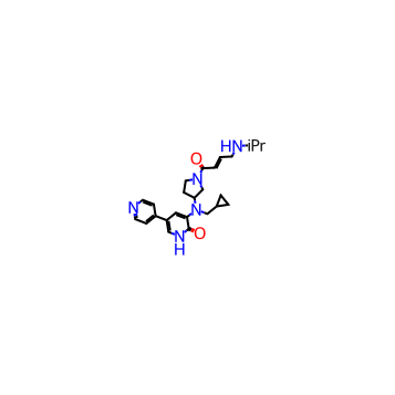 CC(C)NC/C=C/C(=O)N1CCC(N(CC2CC2)c2cc(-c3ccncc3)c[nH]c2=O)C1